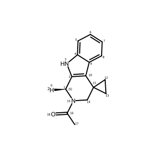 [2H][C@H]1c2[nH]c3ccccc3c2C2(CC2)CN1C(C)=O